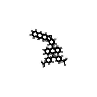 CC(C)c1ccc(N(c2ccc(C(C)C)cc2)c2c3ccccc3c(-c3ccc4oc5cc6cc7ccccc7cc6cc5c4c3)c3ccccc23)cc1